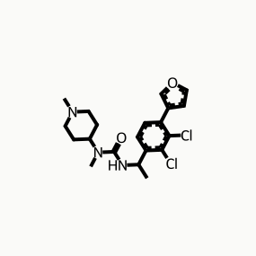 CC(NC(=O)N(C)C1CCN(C)CC1)c1ccc(-c2ccoc2)c(Cl)c1Cl